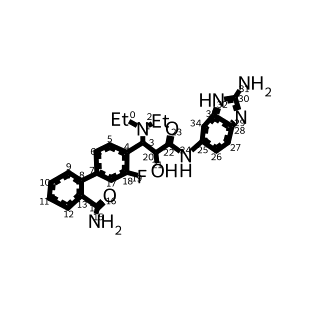 CCN(CC)C(c1ccc(-c2ccccc2C(N)=O)cc1F)C(O)C(=O)Nc1ccc2nc(N)[nH]c2c1